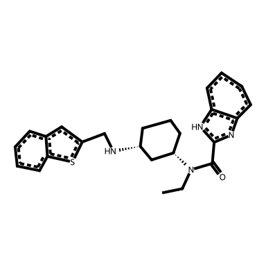 CCN(C(=O)c1nc2ccccc2[nH]1)[C@H]1CCC[C@@H](NCc2cc3ccccc3s2)C1